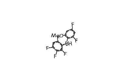 COc1cc(F)cc(F)c1Bc1c(F)cc(F)c(F)c1F